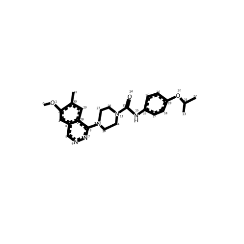 COc1cc2cnnc(N3CCN(C(=O)Nc4ccc(OC(C)C)cc4)CC3)c2cc1C